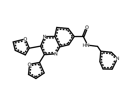 O=C(NCc1cccnc1)c1ccc2nc(-c3ccco3)c(-c3ccco3)nc2c1